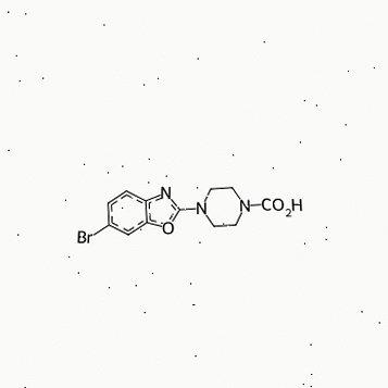 O=C(O)N1CCN(c2nc3ccc(Br)cc3o2)CC1